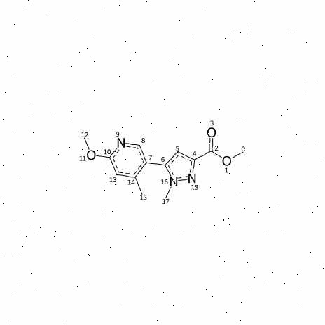 COC(=O)c1cc(-c2cnc(OC)cc2C)n(C)n1